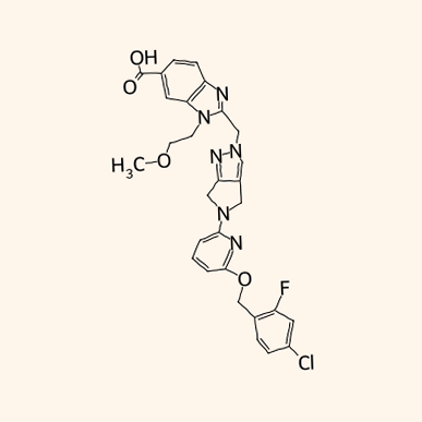 COCCn1c(Cn2cc3c(n2)CN(c2cccc(OCc4ccc(Cl)cc4F)n2)C3)nc2ccc(C(=O)O)cc21